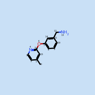 Cc1ccnc(Oc2cccc(CN)c2)c1